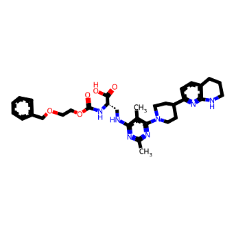 Cc1nc(NC[C@H](NC(=O)OCCOCc2ccccc2)C(=O)O)c(C)c(N2CCC(c3ccc4c(n3)NCCC4)CC2)n1